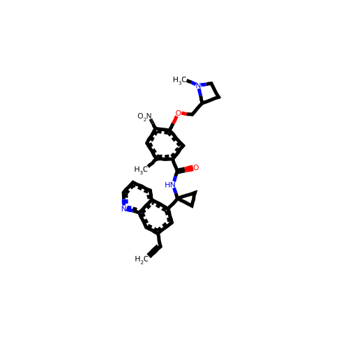 C=Cc1cc(C2(NC(=O)c3cc(OCC4CCN4C)c([N+](=O)[O-])cc3C)CC2)c2cccnc2c1